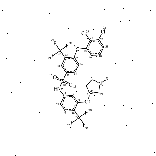 CN1CC[C@@H](Oc2cc(NS(=O)(=O)c3ccc(Sc4cccc(Cl)c4Cl)c(C(F)(F)F)c3)ccc2C(F)(F)F)C1